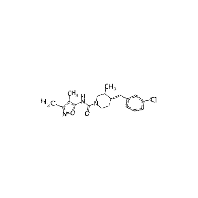 Cc1noc(NC(=O)N2CC/C(=C\c3cccc(Cl)c3)C(C)C2)c1C